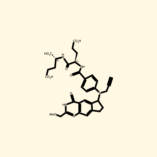 C#CCN(c1ccc(C(=O)N[C@H](CCC(=O)O)C(=O)N[C@H](CCC(=O)O)C(=O)O)cc1)C1CCc2cc3nc(COC)[nH]c(=O)c3cc21